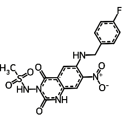 CS(=O)(=O)Nn1c(=O)[nH]c2cc([N+](=O)[O-])c(NCc3ccc(F)cc3)cc2c1=O